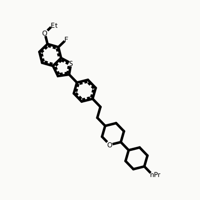 CCCC1CCC(C2CCC(CCc3ccc(-c4cc5ccc(OCC)c(F)c5s4)cc3)CO2)CC1